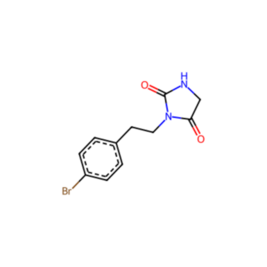 O=C1CNC(=O)N1CCc1ccc(Br)cc1